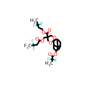 CC(F)(F)CCOC(=O)C1(COC(=O)CC(F)(F)C(F)(F)F)COC2(OC1)C1CC3CC2CC(OC(=O)C(C)(F)F)(C3)C1